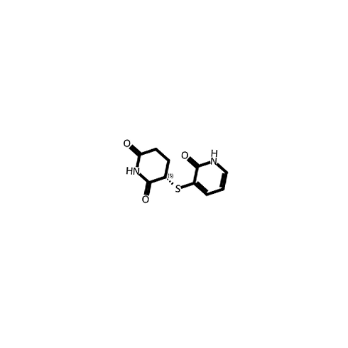 O=C1CC[C@H](Sc2ccc[nH]c2=O)C(=O)N1